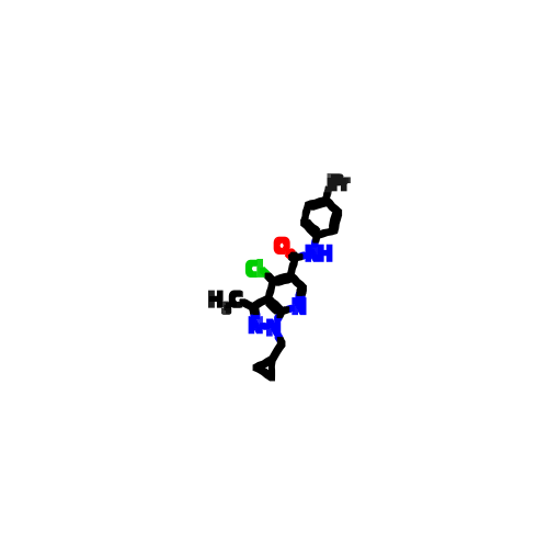 Cc1nn(CC2CC2)c2ncc(C(=O)Nc3ccc(C(C)C)cc3)c(Cl)c12